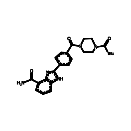 CC(C)(C)C(=O)N1CCN(C(=O)c2ccc(-c3nc4c(C(N)=O)cccc4[nH]3)cc2)CC1